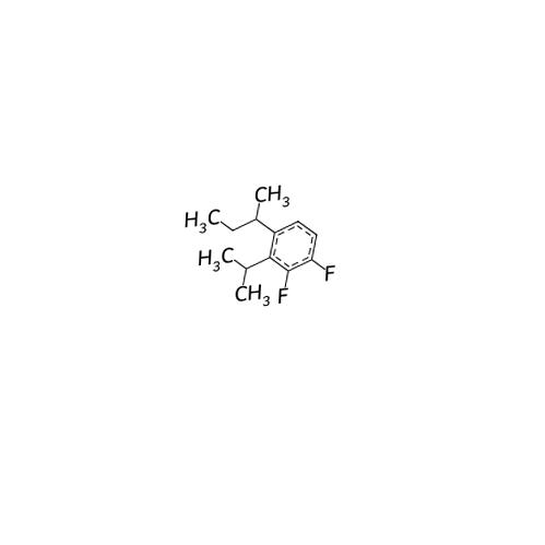 CCC(C)c1ccc(F)c(F)c1C(C)C